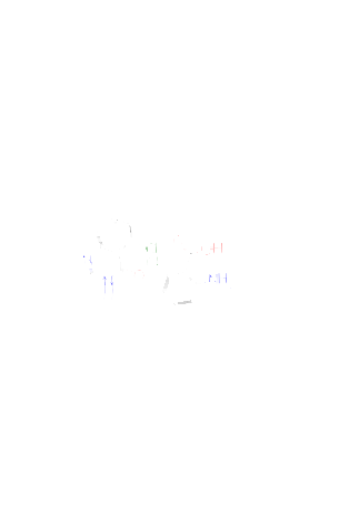 Nc1cccc(Cl)c1C(=O)O.O=c1[nH]cnc2cccc(Cl)c12